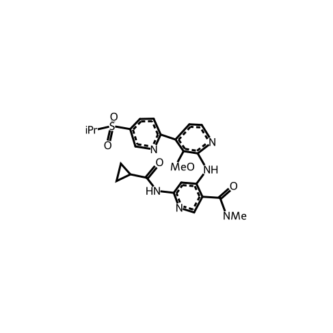 CNC(=O)c1cnc(NC(=O)C2CC2)cc1Nc1nccc(-c2ccc(S(=O)(=O)C(C)C)cn2)c1OC